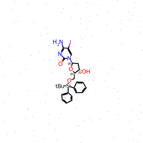 CC(C)(C)[Si](OC[C@H]1O[C@@H](n2cc(I)c(N)nc2=O)C[C@@H]1O)(c1ccccc1)c1ccccc1